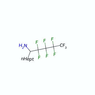 CCCCCCCC(N)C(F)(F)C(F)(F)C(F)(F)C(F)(F)F